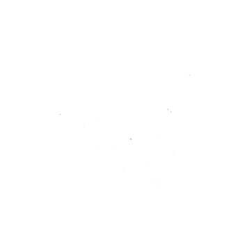 CC(=O)O.CC(=O)O.CC(=O)O.CC(=O)O.NCCN.[Hg]